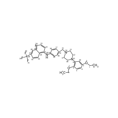 CCOc1ccc(OCC)c(N2CCN(Cc3ccc(Nc4ccnc5cc(C(F)(F)F)ccc45)cc3)CC2)c1